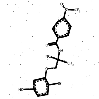 CC(C#N)(COc1cc(C#N)ccc1Br)NC(=O)c1ccc([S+]([O-])C(F)(F)F)cc1